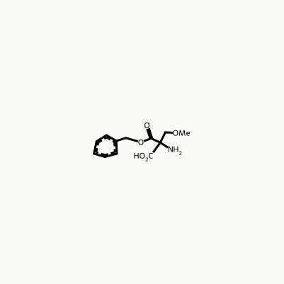 COCC(N)(C(=O)O)C(=O)OCc1ccccc1